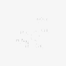 CCCCCCCCCCc1c(C)cc(C)c(NN)c1C